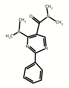 CN(C)C(=O)c1cnc(-c2ccccc2)nc1N(C)C